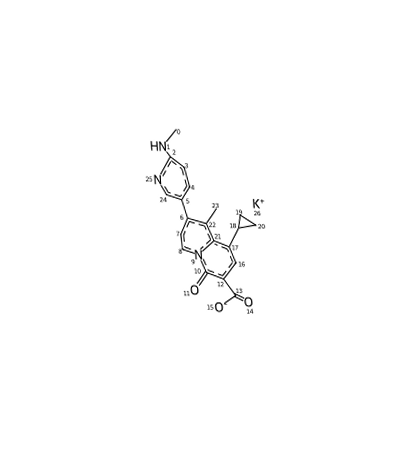 CNc1ccc(-c2ccn3c(=O)c(C(=O)[O-])cc(C4CC4)c3c2C)cn1.[K+]